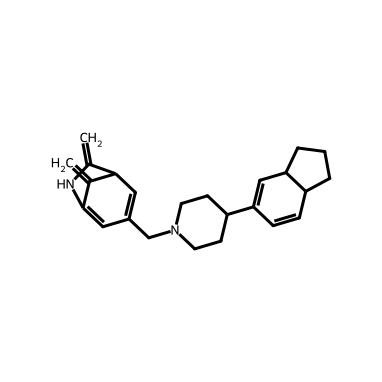 C=C1NC2=CC(CN3CCC(C4=CC5CCCC5C=C4)CC3)=CC1C2=C